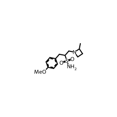 COc1ccc(CC(CN2CCC2C)S(N)(=O)=O)cc1